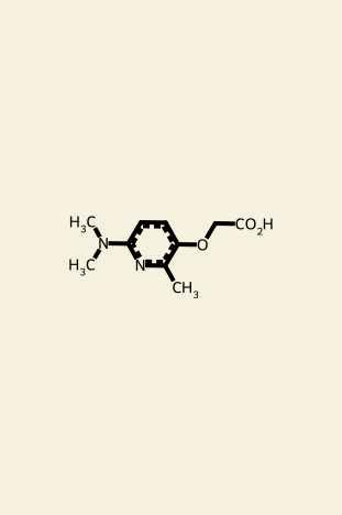 Cc1nc(N(C)C)ccc1OCC(=O)O